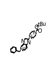 CC(C)(C)OC(=O)N1CCN(c2cnc3c[n+](Cc4ccccc4)ccc3n2)CC1